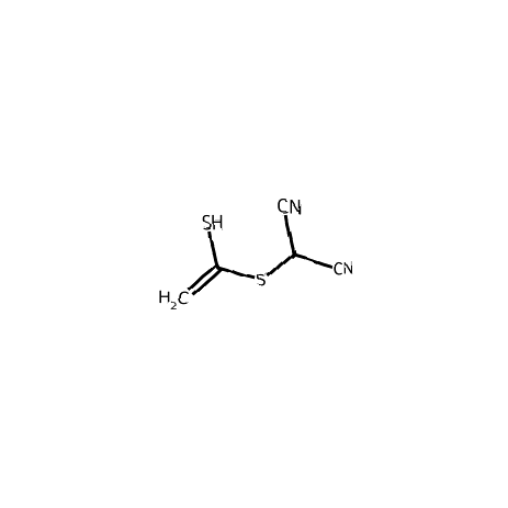 C=C(S)SC(C#N)C#N